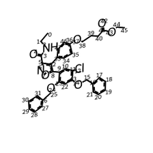 CCNC(=O)c1noc(-c2cc(Cl)c(OCc3ccccc3)cc2OCc2ccccc2)c1-c1ccc(OCCCC(=O)OCC)cc1